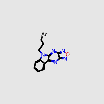 CC(=O)CCCn1c2ccccc2c2nc3nonc3nc21